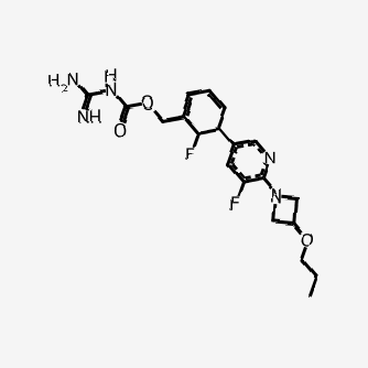 CCCOC1CN(c2ncc(C3C=CC=C(COC(=O)NC(=N)N)C3F)cc2F)C1